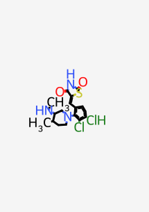 CNC1CN(c2c(Cl)cccc2/C=C2\SC(=O)NC2=O)CCC1C.Cl